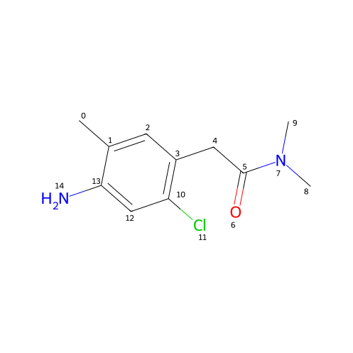 Cc1cc(CC(=O)N(C)C)c(Cl)cc1N